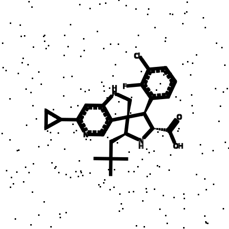 CC(C)(C)C[C@@H]1N[C@@H](C(=O)O)[C@H](c2cccc(Cl)c2F)[C@]12CNc1cc(C3CC3)ncc12